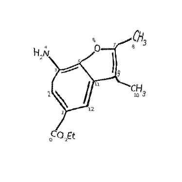 CCOC(=O)c1cc(N)c2oc(C)c(C)c2c1